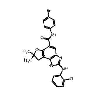 CC1(C)Cc2c(c(C(=O)Nc3ccc(Br)cc3)cc3nc(Nc4ccccc4Cl)[nH]c23)O1